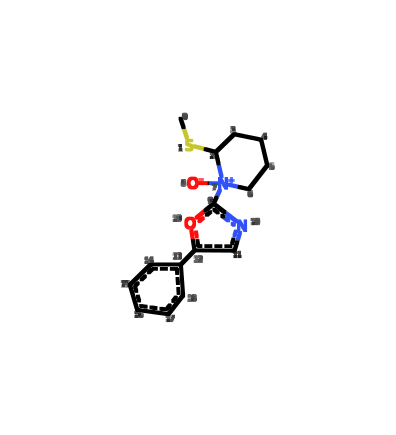 CSC1CCCC[N+]1([O-])c1ncc(-c2ccccc2)o1